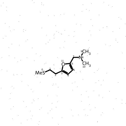 CSC[CH]c1ccc(CN(C)C)o1